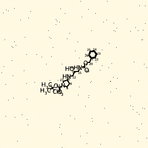 CC(C)(C)OC(=O)N1CC[C@H](NC[C@H](O)CNC(=O)OCc2ccccc2)C1